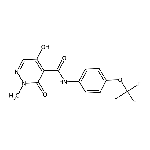 Cn1ncc(O)c(C(=O)Nc2ccc(OC(F)(F)F)cc2)c1=O